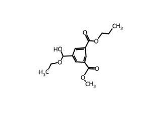 CCCOC(=O)c1cc(C(=O)OC)cc(C(O)OCC)c1